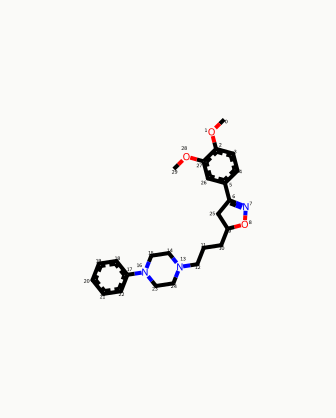 COc1ccc(C2=NOC(CCCN3CCN(c4ccccc4)CC3)C2)cc1OC